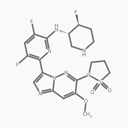 COc1cc2ncc(-c3nc(N[C@H]4CNCC[C@@H]4F)c(F)cc3F)n2nc1N1CCCS1(=O)=O